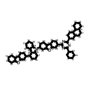 c1ccc(-c2nc(-c3ccc4c(ccc5ccccc54)c3)nc(-c3ccc4c(c3)oc3cc(-n5c6ccccc6c6c(-c7ccc8c(c7)oc7ccccc78)cccc65)ccc34)n2)cc1